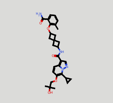 Cc1cccc(C(N)=O)c1OC1CC2(CC(NC(=O)c3cnn4c(C5CC5)c(OCC(C)(C)O)ccc34)C2)C1